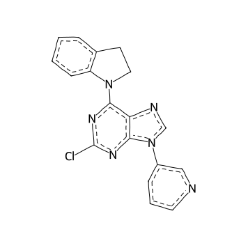 Clc1nc(N2CCc3ccccc32)c2ncn(-c3cccnc3)c2n1